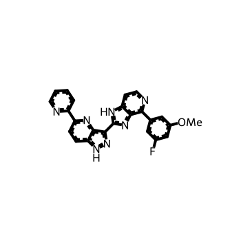 COc1cc(F)cc(-c2nccc3[nH]c(-c4n[nH]c5ccc(-c6ccccn6)nc45)nc23)c1